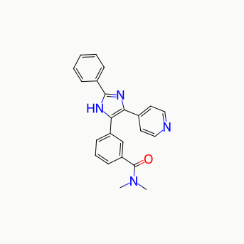 CN(C)C(=O)c1cccc(-c2[nH]c(-c3ccccc3)nc2-c2ccncc2)c1